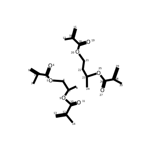 C=C(C)C(=O)OCC(C)OC(=O)C(=C)C.C=C(C)C(=O)OCCC(C)OC(=O)C(=C)C